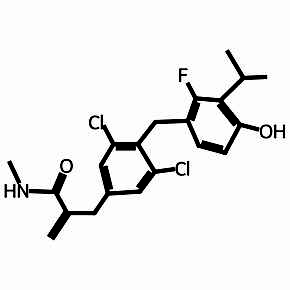 C=C(Cc1cc(Cl)c(Cc2ccc(O)c(C(C)C)c2F)c(Cl)c1)C(=O)NC